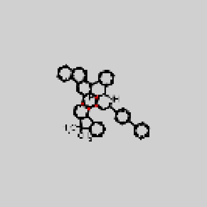 CC1(C)c2ccccc2-c2c(C3=CC(c4ccc(-c5ccccc5)cc4)NC(c4ccccc4-c4c5ccccc5cc5c4ccc4ccccc45)N3)cccc21